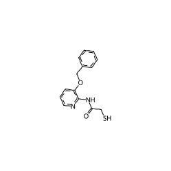 O=C(CS)Nc1ncccc1OCc1ccccc1